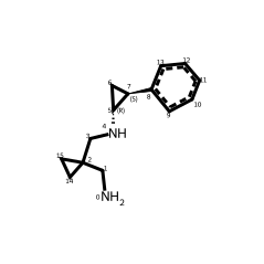 NCC1(CN[C@@H]2C[C@H]2c2ccccc2)CC1